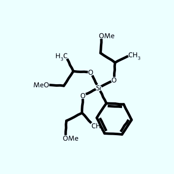 COCC(C)O[Si](OC(C)COC)(OC(C)COC)c1ccccc1